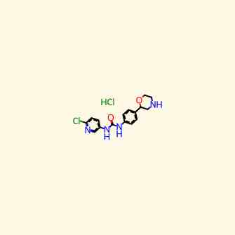 Cl.O=C(Nc1ccc(C2CNCCO2)cc1)Nc1ccc(Cl)nc1